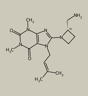 CC(C)=CCn1c(N2CC[C@H]2CN)nc2c1c(=O)n(C)c(=O)n2C